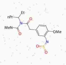 CCCC(CC)N(C(=O)Cc1ccc(OC)c(N=S(=O)=O)c1)C(=O)NC